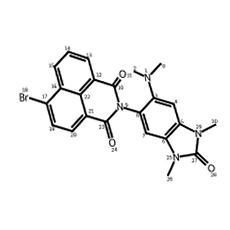 CN(C)c1cc2c(cc1N1C(=O)c3cccc4c(Br)ccc(c34)C1=O)n(C)c(=O)n2C